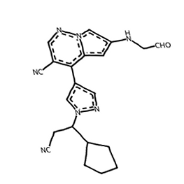 N#CCC(C1CCCC1)n1cc(-c2c(C#N)cnn3cc(NCC=O)cc23)cn1